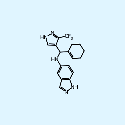 FC(F)(F)c1n[nH]cc1C(Nc1ccc2[nH]ncc2c1)C1=CCCCC1